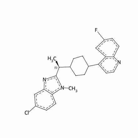 C[C@H](c1nc2cc(Cl)ccc2n1C)C1CCC(c2ccnc3ccc(F)cc23)CC1